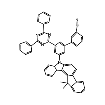 CC1(C)c2ccccc2-c2ccc3c(c21)C1C=CC=CC1N3c1cc(-c2cccc(C#N)c2)cc(-c2nc(-c3ccccc3)nc(-c3ccccc3)n2)c1